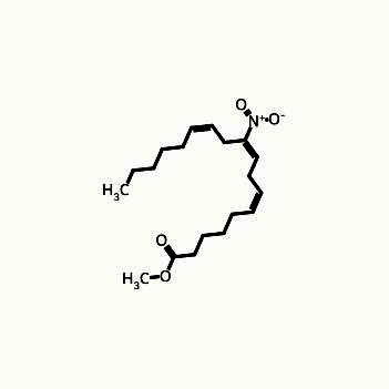 CCCCC/C=C\C/C(=C\C/C=C\CCCCC(=O)OC)[N+](=O)[O-]